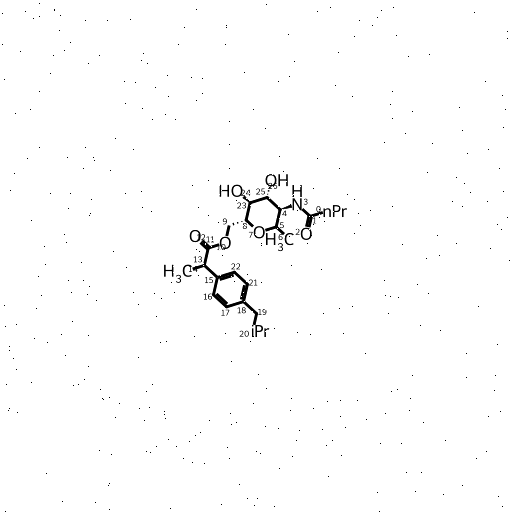 CCCC(=O)N[C@H]1C(C)O[C@H](COC(=O)C(C)c2ccc(CC(C)C)cc2)[C@@H](O)[C@@H]1O